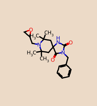 CC1(C)CC2(CC(C)(C)N1CC1CO1)NC(=O)N(Cc1ccccc1)C2=O